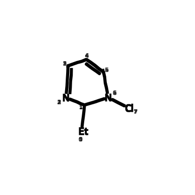 CCC1N=CC=[C]N1Cl